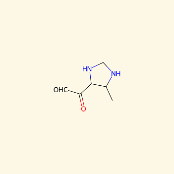 CC1NCNC1C(=O)C=O